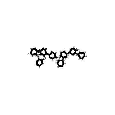 c1ccc2c(c1)Oc1c(-c3ccc(-n4c5ccccc5c5cc(-c6ccc7oc8ccccc8c7c6)ccc54)cc3)ccc3c4ccccc4n-2c13